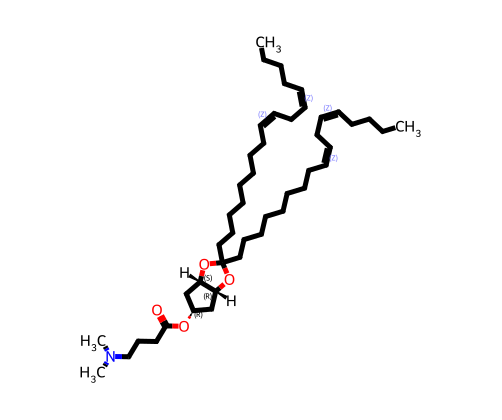 CCCC/C=C\C/C=C\CCCCCCCCC1(CCCCCCCC/C=C\C/C=C\CCCC)O[C@H]2C[C@@H](OC(=O)CCCN(C)C)C[C@H]2O1